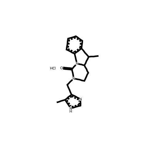 Cc1[nH]cnc1CN1CCC2C(C)c3ccccc3N2C1=O.Cl